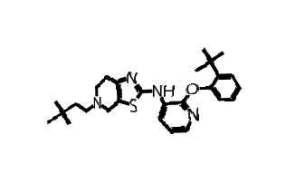 CC(C)(C)CCN1CCc2nc(Nc3cccnc3Oc3ccccc3C(C)(C)C)sc2C1